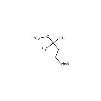 CCCCCCCCCC(C)(C)OC(=O)OCC